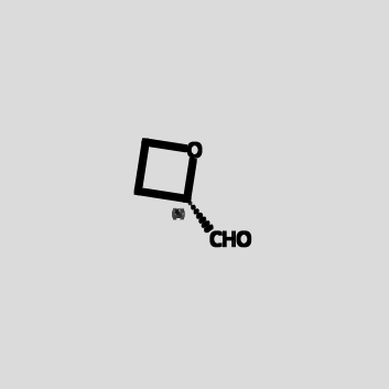 O=C[C@@H]1CCO1